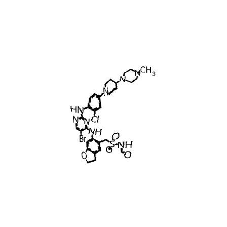 CN1CCN(C2CCN(c3ccc(Nc4ncc(Br)c(Nc5cc6c(cc5CS(=O)(=O)NC=O)CCO6)n4)c(Cl)c3)CC2)CC1